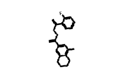 C=C(CCC(=C)c1ccccc1F)c1cc(C)c2c(c1)CCCC2